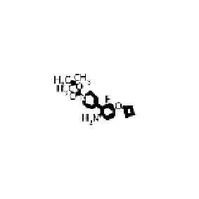 CC(C)(C)OC(=O)N1CC=C(c2c(N)ccc(OC3CCC3)c2F)CC1